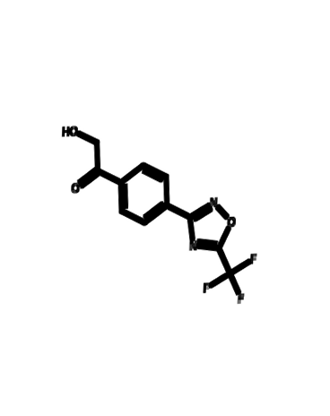 O=C(CO)c1ccc(-c2noc(C(F)(F)F)n2)cc1